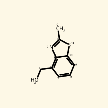 Cc1nc2c(CO)cccc2s1